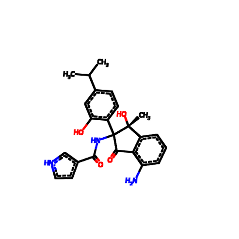 CC(C)c1ccc(C2(NC(=O)c3cc[nH]c3)C(=O)c3c(N)cccc3[C@@]2(C)O)c(O)c1